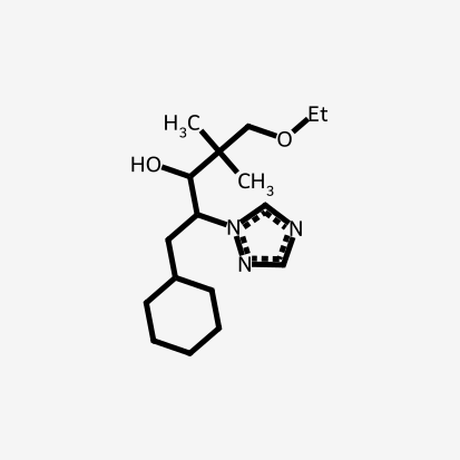 CCOCC(C)(C)C(O)C(CC1CCCCC1)n1cncn1